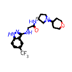 O=C(CNc1n[nH]c2ccc(C(F)(F)F)cc12)N[C@@H]1CCN(C2CCOCC2)C1